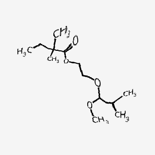 CCC(C)(C)C(=O)OCCOC(OC)C(C)C